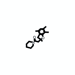 Cc1cc(C)c2c(c1C)OC(C)(CC(=O)N1CCCCC1)C2